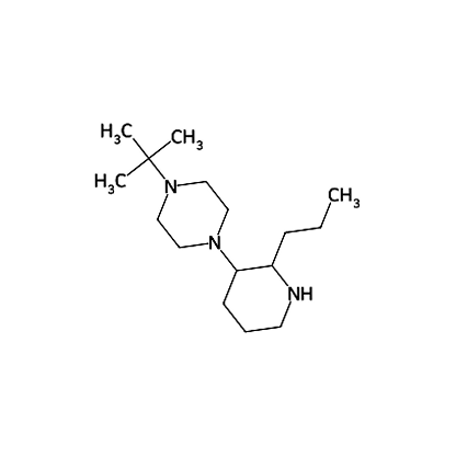 CCCC1NCCCC1N1CCN(C(C)(C)C)CC1